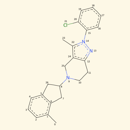 Cc1cccc2c1CC(N1CCc3nn(-c4ccccc4Cl)c(C)c3C1)C2